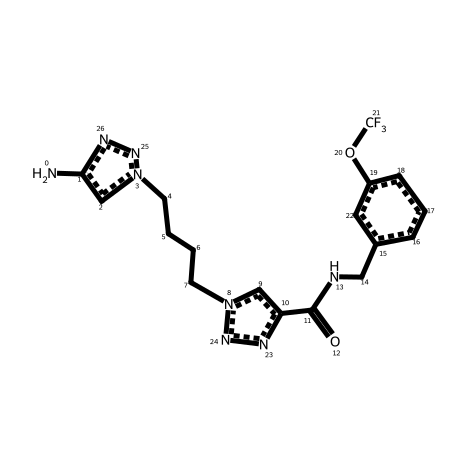 Nc1cn(CCCCn2cc(C(=O)NCc3cccc(OC(F)(F)F)c3)nn2)nn1